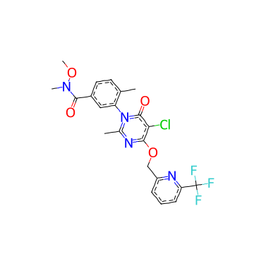 CON(C)C(=O)c1ccc(C)c(-n2c(C)nc(OCc3cccc(C(F)(F)F)n3)c(Cl)c2=O)c1